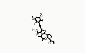 C=CC(=O)N1CC[C@H](c2nc(C#Cc3c(F)c(OC)cc(OC)c3F)c3c(N)ncc(C(C)=O)n23)C1